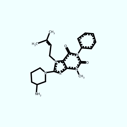 CC(C)=CCn1c(N2CCCC(N)C2)nc2c1c(=O)n(-c1ccccc1)c(=O)n2C